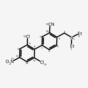 CCN(CC)Cc1ccc(-c2c(Cl)cc([N+](=O)[O-])cc2Cl)cc1C#N